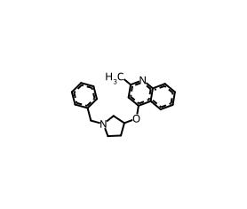 Cc1cc(OC2CCN(Cc3ccccc3)C2)c2ccccc2n1